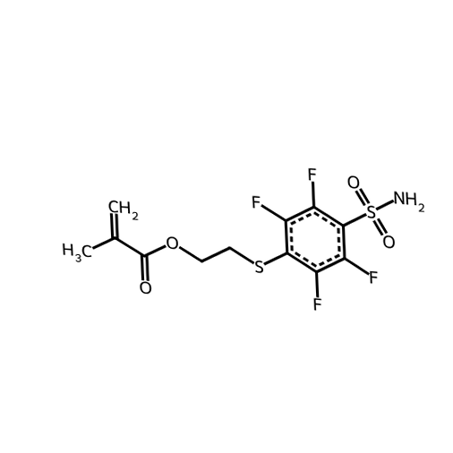 C=C(C)C(=O)OCCSc1c(F)c(F)c(S(N)(=O)=O)c(F)c1F